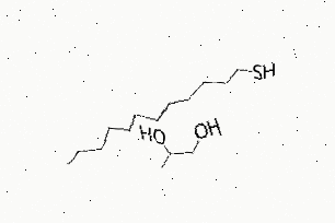 CC(O)CO.CCCCCCCCCCCCS